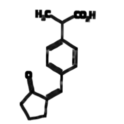 CC(C(=O)O)c1ccc(C=C2CCCC2=O)cc1